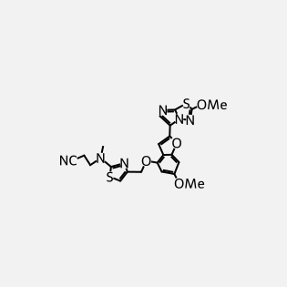 COc1cc(OCc2csc(N(C)CCC#N)n2)c2cc(-c3cnc4sc(OC)nn34)oc2c1